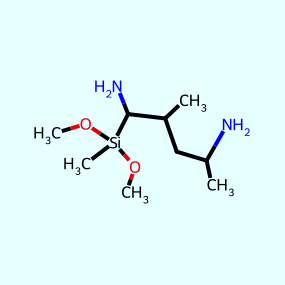 CO[Si](C)(OC)C(N)C(C)CC(C)N